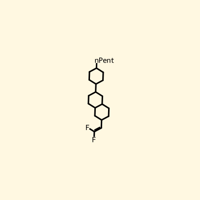 CCCCCC1CCC(C2CCC3CC(C=C(F)F)CCC3C2)CC1